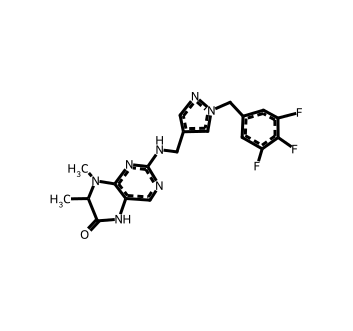 CC1C(=O)Nc2cnc(NCc3cnn(Cc4cc(F)c(F)c(F)c4)c3)nc2N1C